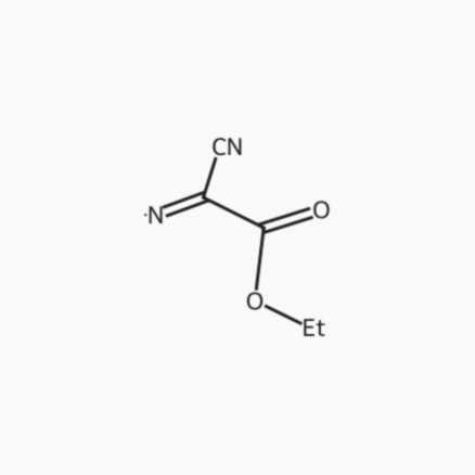 CCOC(=O)C(=[N])C#N